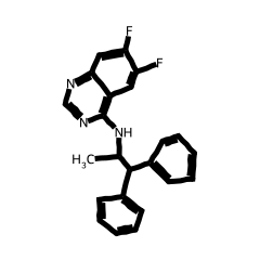 CC(Nc1ncnc2cc(F)c(F)cc12)C(c1ccccc1)c1ccccc1